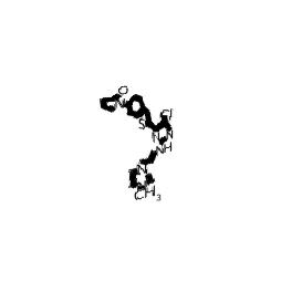 CN1CCN(CCCNc2ncc(Cl)c(-c3cc4ccc(N5CCCC5=O)cc4s3)n2)CC1